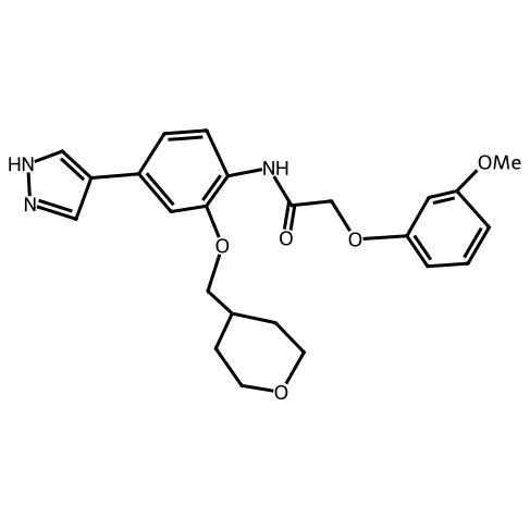 COc1cccc(OCC(=O)Nc2ccc(-c3cn[nH]c3)cc2OCC2CCOCC2)c1